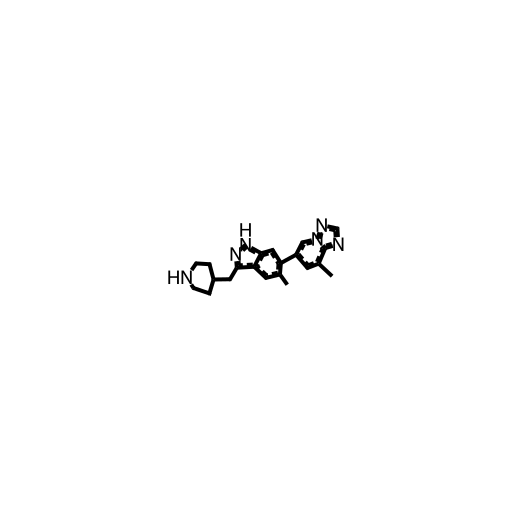 Cc1cc2c(CC3CCNCC3)n[nH]c2cc1-c1cc(C)c2ncnn2c1